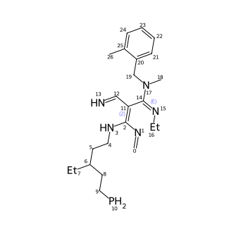 C=N/C(NCCC(CC)CCP)=C(C=N)\C(=N/CC)N(C)Cc1ccccc1C